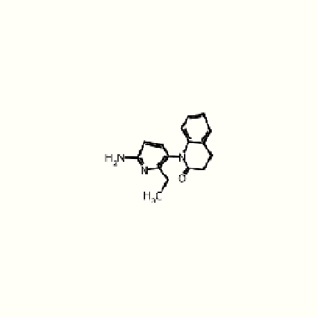 CCc1nc(N)ccc1N1C(=O)CCc2ccccc21